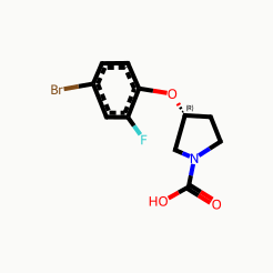 O=C(O)N1CC[C@@H](Oc2ccc(Br)cc2F)C1